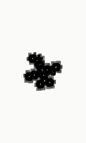 CC1(C)c2ccccc2-c2nc(-n3c4cc5ccccc5cc4c4c5c6ccccc6c6ccccc6c5ccc43)c(-c3ccc4oc5ccccc5c4c3)nc21